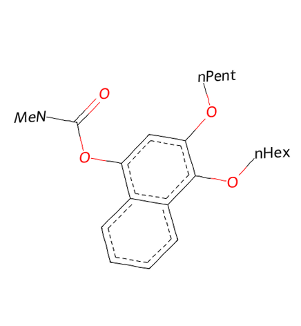 CCCCCCOc1c(OCCCCC)cc(OC(=O)NC)c2ccccc12